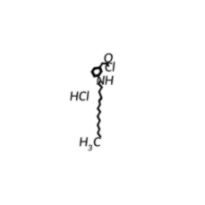 CCCCCCCCCC/C=C/CCCNc1cccc(CC(=O)Cl)c1.Cl